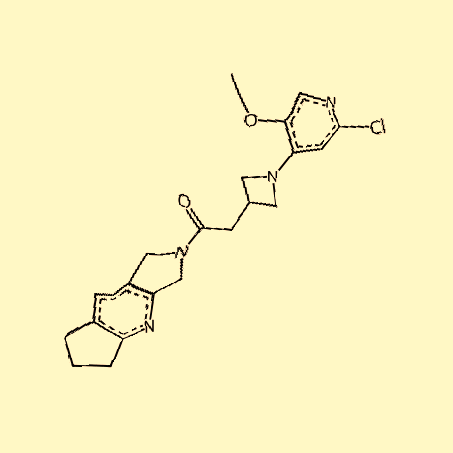 COc1cnc(Cl)cc1N1CC(CC(=O)N2Cc3cc4c(nc3C2)CCC4)C1